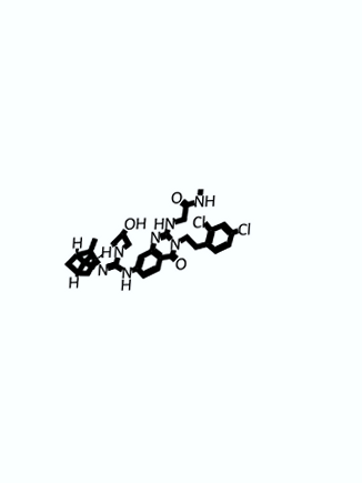 CNC(=O)CNc1nc2cc(N/C(=N/[C@H]3C[C@@H]4C[C@H](C3C)C4(C)C)N3CC(O)C3)ccc2c(=O)n1CCc1ccc(Cl)cc1Cl